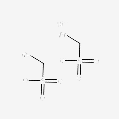 CC(C)CS(=O)(=O)[O-].CC(C)CS(=O)(=O)[O-].[Ni+2]